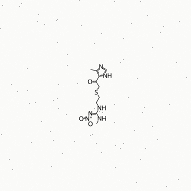 CNC(=N[N+](=O)[O-])NCCSCC(=O)c1[nH]cnc1C